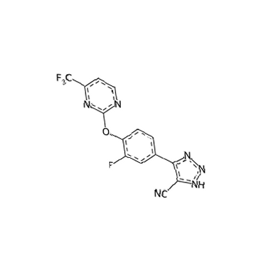 N#Cc1[nH]nnc1-c1ccc(Oc2nccc(C(F)(F)F)n2)c(F)c1